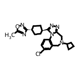 Cc1nc([C@H]2CC[C@H](c3nnc4n3-c3ccc(Cl)cc3CN(C3CCC3)C4)CC2)no1